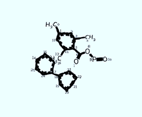 Cc1cc(C)c(C(=O)OP=O)c(C)c1.c1ccc(-c2ccccc2)cc1